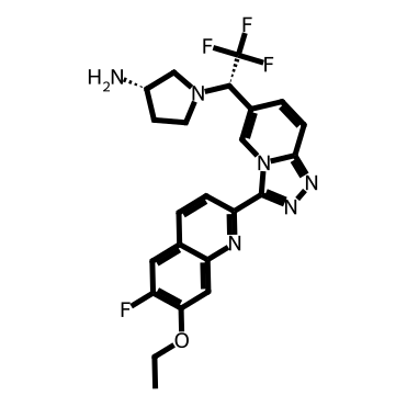 CCOc1cc2nc(-c3nnc4ccc([C@H](N5CC[C@H](N)C5)C(F)(F)F)cn34)ccc2cc1F